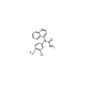 NC(=O)N(c1ccc(C(F)(F)F)c(Cl)c1)c1ccnc2ccccc12